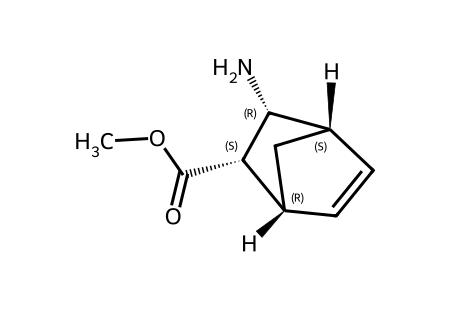 COC(=O)[C@@H]1[C@H](N)[C@@H]2C=C[C@H]1C2